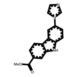 COC(=O)c1ccc2c(c1)[nH]c1ccc(-n3ccnc3)cc12